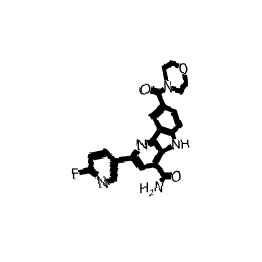 NC(=O)c1cc(-c2ccc(F)nc2)nc2c1[nH]c1ccc(C(=O)N3CCOCC3)cc12